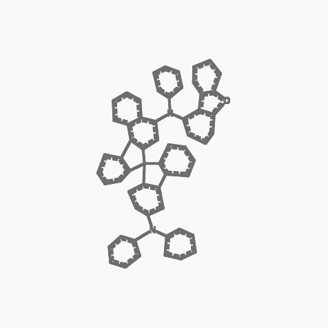 c1ccc(N(c2ccccc2)c2ccc3c(c2)-c2ccccc2C32c3ccccc3-c3c2cc(N(c2ccccc2)c2cccc4oc5ccccc5c24)c2ccccc32)cc1